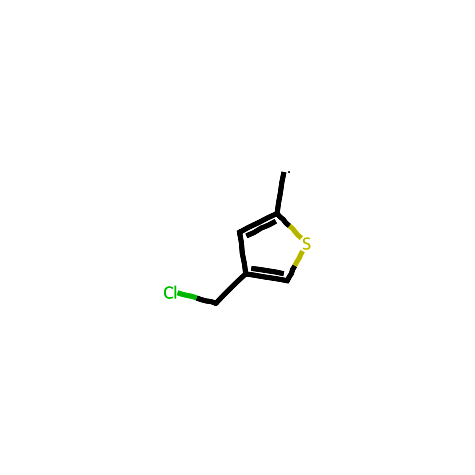 [CH2]c1cc(CCl)cs1